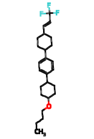 CCCCOC1CCC(c2ccc(C3CCC(C=CC(F)(F)F)CC3)cc2)CC1